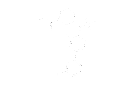 COC(=O)N1CCC[C@H](NS(C)(=O)=O)[C@@H]1Cc1cccc(-c2cccc(F)c2)c1